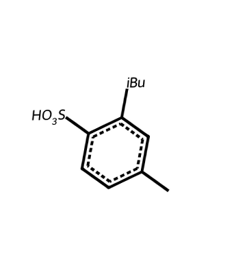 CCC(C)c1cc(C)ccc1S(=O)(=O)O